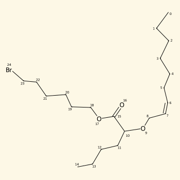 CCCCCC/C=C\COC(CCCC)C(=O)OCCCCCCBr